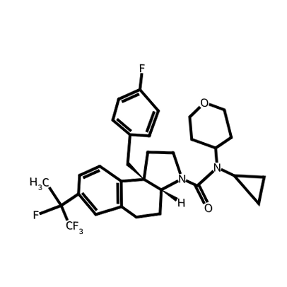 CC(F)(c1ccc2c(c1)CC[C@H]1N(C(=O)N(C3CCOCC3)C3CC3)CC[C@@]21Cc1ccc(F)cc1)C(F)(F)F